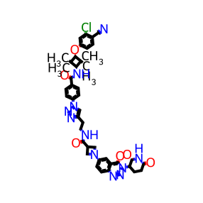 CC1(C)[C@H](NC(=O)c2ccc(-n3cc(CCNC(=O)C4CN(c5ccc6nnn(C7CCC(=O)NC7=O)c(=O)c6c5)C4)nn3)cc2)C(C)(C)[C@H]1Oc1ccc(C#N)c(Cl)c1